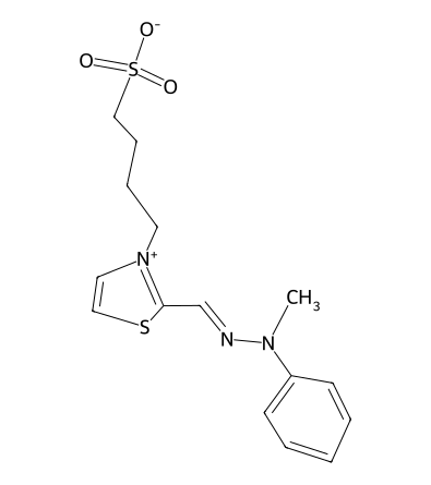 CN(/N=C/c1scc[n+]1CCCCS(=O)(=O)[O-])c1ccccc1